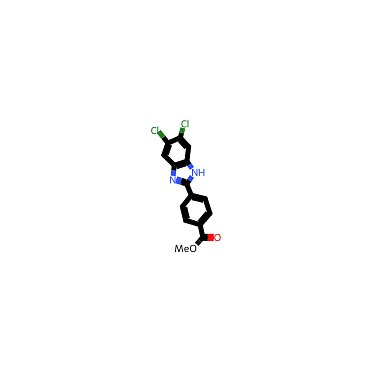 COC(=O)c1ccc(-c2nc3cc(Cl)c(Cl)cc3[nH]2)cc1